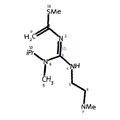 C=C(/N=C(/NCCNC)N(C)C(C)C)SC